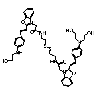 O=C(CN1c2ccccc2OC1/C=C/c1ccc(N(CCO)CCO)cc1)NCCSSCCNC(=O)C[n+]1c(/C=C/c2ccc(NCCO)cc2)oc2ccccc21